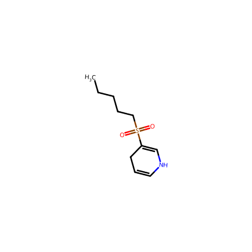 CCCCCS(=O)(=O)C1=CNC=CC1